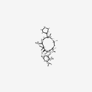 CO[C@]1(C)C[C@@H](C)CN(C)[C@H](C2CCCCC2)COC(O)C(C)(C)C(=O)[C@H](C)[C@H]1O[C@@H]1O[C@H](C)C[C@H](N(C)C)[C@H]1O